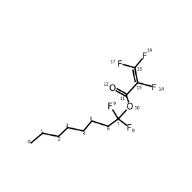 CCCCCCCC(F)(F)OC(=O)C(F)=C(F)F